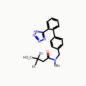 CCCCN(Cc1ccc(-c2ccccc2-c2nnn[nH]2)cc1)C(=O)CC(CC)(CC)C(=O)O